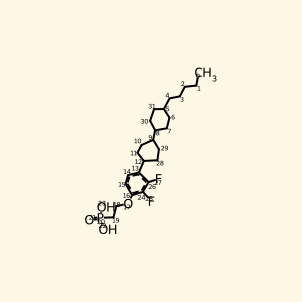 CCCCCC1CCC(C2CCC(c3ccc(OCCP(=O)(O)O)c(F)c3F)CC2)CC1